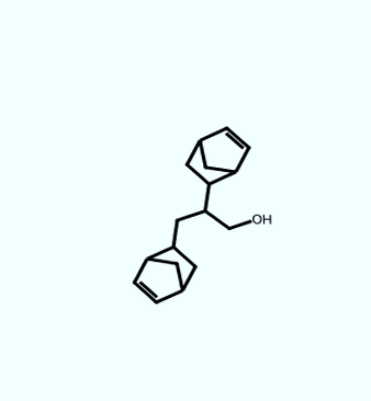 OCC(CC1CC2C=CC1C2)C1CC2C=CC1C2